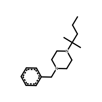 CCCC(C)(C)N1CCN(Cc2ccccc2)CC1